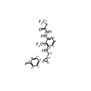 O=C(CC(F)(F)F)NNc1nccc(NC[C@H]2C[C@@H]2c2ccc(F)cc2)c1C(F)(F)F